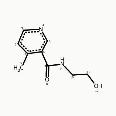 Cc1ccncc1C(=O)NCCO